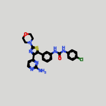 Nc1nccc(-c2nc(N3CCOCC3)sc2-c2cccc(NC(=O)Nc3ccc(Cl)cc3)c2)n1